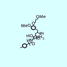 COCCCOc1cc(CC(CC(N)C(O)CNC(=O)C(C)(C)c2ccc(C)cc2)C(C)C)ccc1OC.Cl